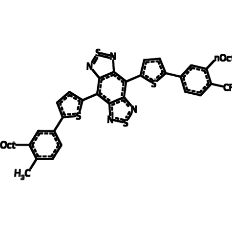 CCCCCCCCc1cc(-c2ccc(-c3c4c(c(-c5ccc(-c6ccc(C(F)(F)F)c(CCCCCCCC)c6)s5)c5nsnc35)N=S=N4)s2)ccc1C